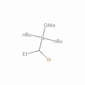 CCCC[Si](CCCC)(OC)C(Br)CC